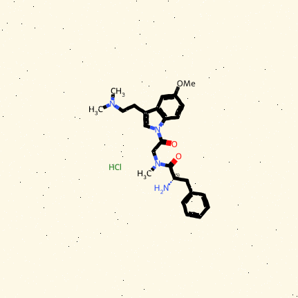 COc1ccc2c(c1)c(CCN(C)C)cn2C(=O)CN(C)C(=O)[C@@H](N)Cc1ccccc1.Cl